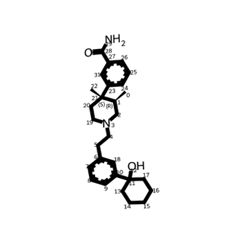 C[C@H]1CN(CCc2cccc(C3(O)CCCCC3)c2)CC[C@]1(C)c1cccc(C(N)=O)c1